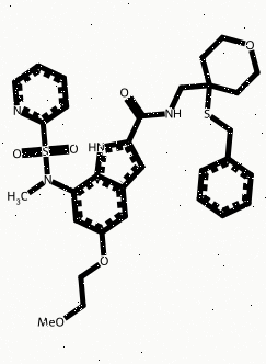 COCCOc1cc(N(C)S(=O)(=O)c2ccccn2)c2[nH]c(C(=O)NCC3(SCc4ccccc4)CCOCC3)cc2c1